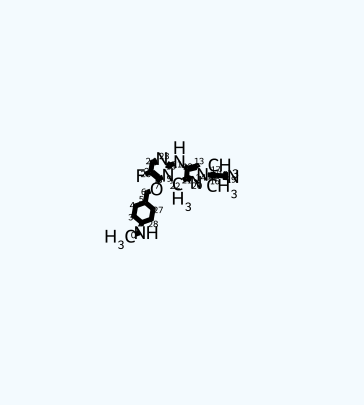 CNC1CCC(COc2nc(Nc3cn(C(C)(C)C#N)nc3C)ncc2F)CC1